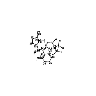 CC(C)[Si](C(C)C)(C(C)C)n1cc([C@H](F)C2CCC(=O)N2)c2c(F)cccc21